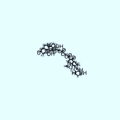 COc1c(N2C[C@@H]3CCCN[C@@H]3C2)c(F)cc2c(=O)c(C(=O)OCOC(=O)OCC(=O)[C@]3(O)CC[C@@H]4[C@H]5CCC6=CC(=O)C=C[C@@]6(C)C5[C@H](O)C[C@]43C)cn(C3CC3)c12